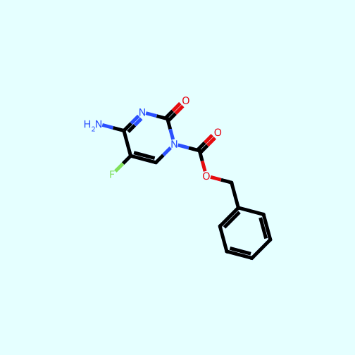 Nc1nc(=O)n(C(=O)OCc2ccccc2)cc1F